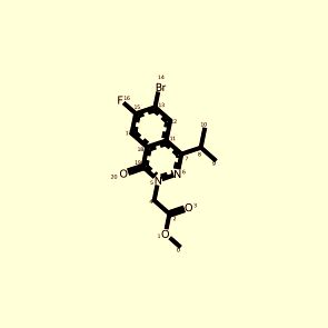 COC(=O)Cn1nc(C(C)C)c2cc(Br)c(F)cc2c1=O